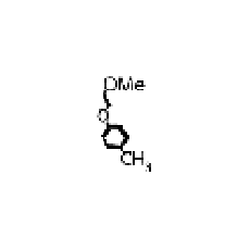 COCCOc1ccc(C)cc1